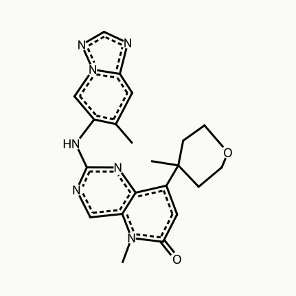 Cc1cc2ncnn2cc1Nc1ncc2c(n1)c(C1(C)CCOCC1)cc(=O)n2C